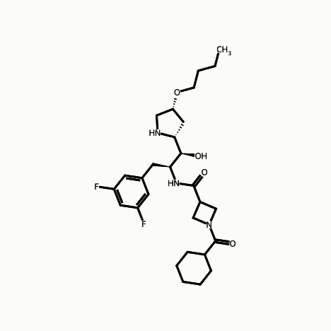 CCCCO[C@H]1CN[C@@H]([C@@H](O)[C@H](Cc2cc(F)cc(F)c2)NC(=O)C2CN(C(=O)C3CCCCC3)C2)C1